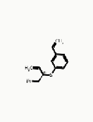 C=Cc1cccc(S[C@H](C=C)CC(C)C)c1